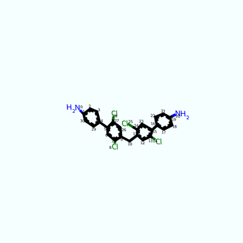 Nc1ccc(-c2cc(Cl)c(Cc3cc(Cl)c(-c4ccc(N)cc4)cc3Cl)cc2Cl)cc1